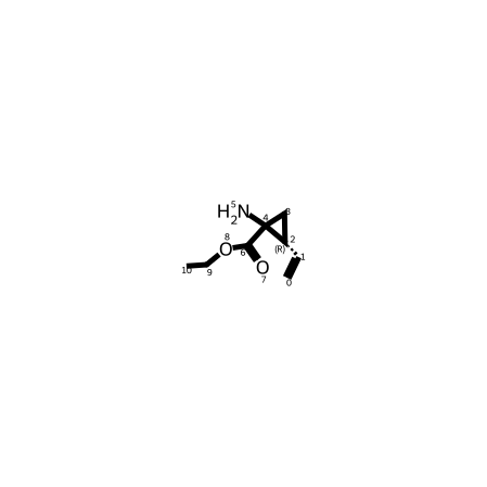 C=C[C@H]1CC1(N)C(=O)OCC